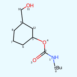 CC(C)(C)NC(=O)OC1CCCC(CO)C1